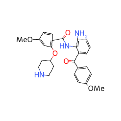 COc1ccc(C(=O)c2cccc(N)c2NC(=O)c2ccc(OC)cc2OC2CCNCC2)cc1